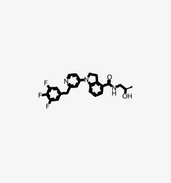 C[C@@H](O)CNC(=O)c1cccc2c1CCN2c1ccnc(Cc2cc(F)c(F)c(F)c2)c1